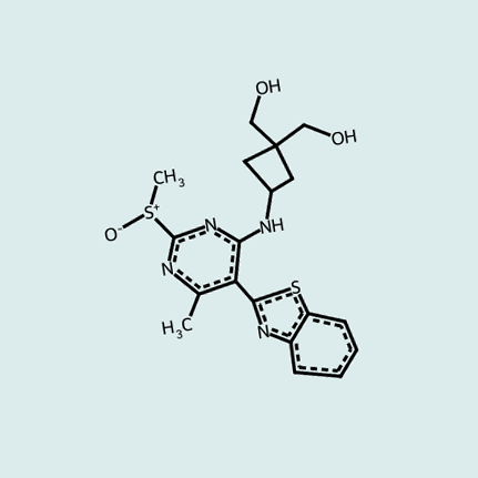 Cc1nc([S+](C)[O-])nc(NC2CC(CO)(CO)C2)c1-c1nc2ccccc2s1